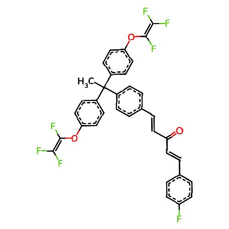 CC(c1ccc(/C=C/C(=O)/C=C/c2ccc(F)cc2)cc1)(c1ccc(OC(F)=C(F)F)cc1)c1ccc(OC(F)=C(F)F)cc1